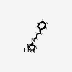 C(CCc1ccccc1)=Nc1nn[nH]n1